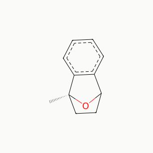 C[C@@]12CCC(O1)c1ccccc12